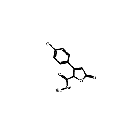 CC(C)(C)NC(=O)C1OC(=O)C=C1c1ccc(Cl)cc1